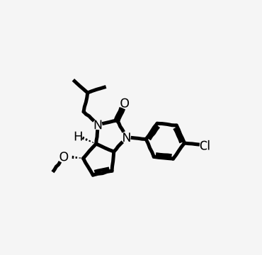 CO[C@H]1C=CC2[C@@H]1N(CC(C)C)C(=O)N2c1ccc(Cl)cc1